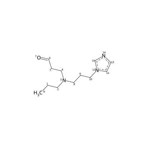 CCCN(CCC=O)CCCn1ccnc1